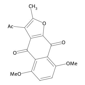 COc1ccc(OC)c2c1C(=O)c1oc(C)c(C(C)=O)c1C2=O